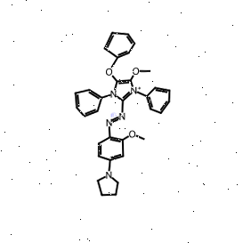 COc1cc(N2CCCC2)ccc1/N=N/c1n(-c2ccccc2)c(Oc2ccccc2)c(OC)[n+]1-c1ccccc1